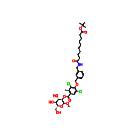 CO[C@H]1O[C@H](CO)[C@@H](O)[C@H](O)[C@H]1OC(=O)c1cc(Cl)c(OCc2cccc(CNC(=O)CCCCCCCCC(=O)OC(C)(C)C)c2)c(Cl)c1C